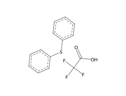 O=C(O)C(F)(F)F.c1ccc(Sc2ccccc2)cc1